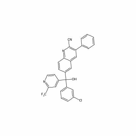 N#Cc1nc2ccc(C(O)(c3cccc(Cl)c3)c3ccnc(C(F)(F)F)c3)cc2cc1-c1ccccc1